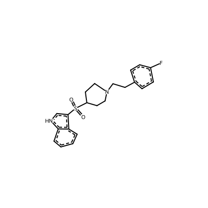 O=S(=O)(c1c[nH]c2ccccc12)C1CCN(CCc2ccc(F)cc2)CC1